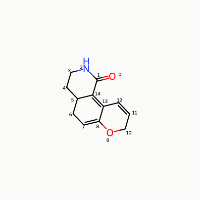 O=C1NCCC2CC=C3OCC=CC3=C12